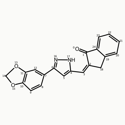 O=C1C(=Cc2cc(-c3ccc4c(c3)OCO4)n[nH]2)Cc2ccccc21